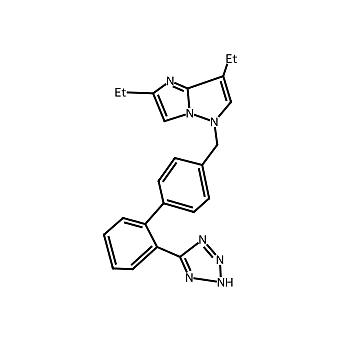 CCc1cn2c(n1)c(CC)cn2Cc1ccc(-c2ccccc2-c2nn[nH]n2)cc1